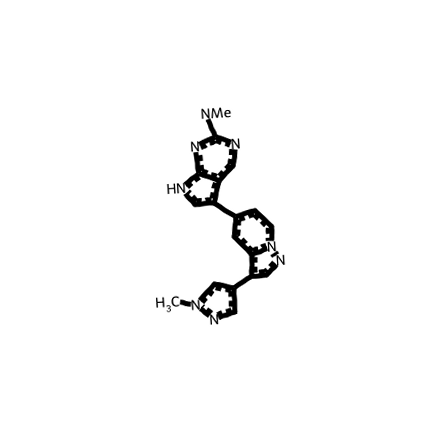 CNc1ncc2c(-c3ccn4ncc(-c5cnn(C)c5)c4c3)c[nH]c2n1